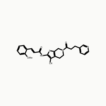 COc1ccccc1C=CC(=O)Nc1sc2c(c1C#N)CCN(C(=O)CCc1cccnc1)C2